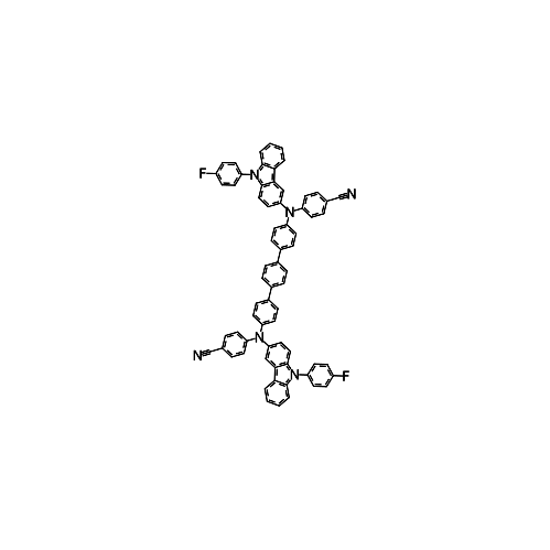 N#Cc1ccc(N(c2ccc(-c3ccc(-c4ccc(N(c5ccc(C#N)cc5)c5ccc6c(c5)c5ccccc5n6-c5ccc(F)cc5)cc4)cc3)cc2)c2ccc3c(c2)c2ccccc2n3-c2ccc(F)cc2)cc1